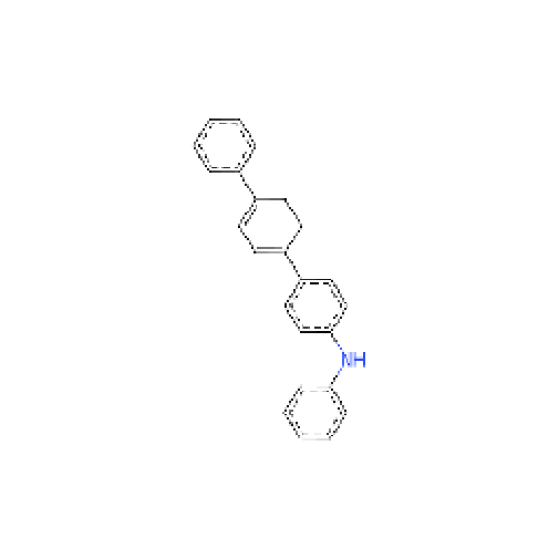 C1=C(c2ccccc2)CCC(c2ccc(Nc3ccccc3)cc2)=C1